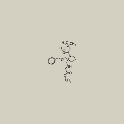 COC(=O)CNCC1(COCc2ccccc2)CCCN1C(=O)OC(C)(C)C